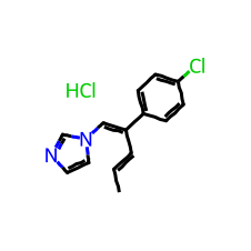 C/C=C/C(=C\n1ccnc1)c1ccc(Cl)cc1.Cl